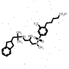 CN(CC(O)CNC(C)(C)CC1Cc2ccccc2C1)S(=O)(=O)c1ccc(CCCCC(=O)O)c(C(F)(F)F)c1